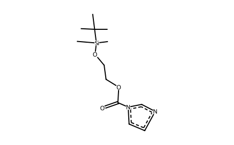 CC(C)(C)[Si](C)(C)OCCOC(=O)n1ccnc1